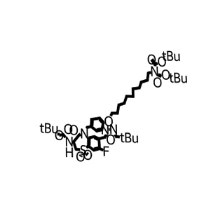 CC(C)(C)OC(=O)N[C@H]1CS(=O)(=O)c2cc(F)c(-c3nnc(C(C)(C)C)o3)cc2N(Cc2ccc(OCCCCCCCCCCCN(C(=O)OC(C)(C)C)C(=O)OC(C)(C)C)cc2)C1=O